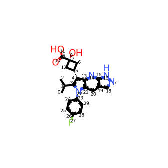 CC(C)c1c([C@H]2C[C@](O)(C(=O)O)C2)c2nc3[nH]ncc3cc2n1-c1ccc(F)cc1